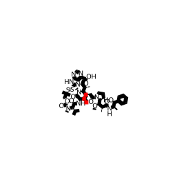 CC[C@H](C)[C@@H]([C@@H](CC(=O)N1CCC[C@H]1[C@H](OC)[C@@H](C)C(=O)N[C@H](C)[C@@H](O)c1ccccc1)OC)N(C)C(=O)[C@@H](NC(=O)[C@H](C(C)C)N(C)C(=O)OCC(C)(C)SSc1nc2c(C(=O)O)ncnc2[nH]1)C(C)C